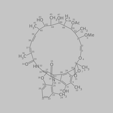 COC1C=COC2(C)Oc3c(C)c(O)c4c(=O)c(c5oc6cccc(C)c6nc-5c4c3C2=O)NC(=O)C(C)=CC=CC(C)C(O)C(C)C(O)C(C)C(OC(C)=O)C1C